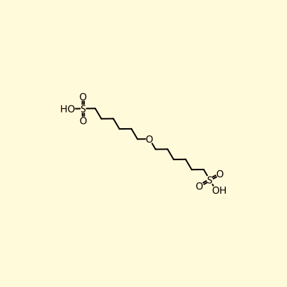 O=S(=O)(O)CCCCCCOCCCCCCS(=O)(=O)O